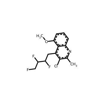 COc1cccc2nc(C)c(Cl)c(CC(F)C(F)CF)c12